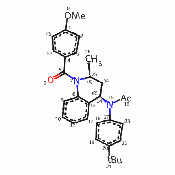 COc1ccc(C(=O)N2c3ccccc3[C@H](N(C(C)=O)c3ccc(C(C)(C)C)cc3)C[C@@H]2C)cc1